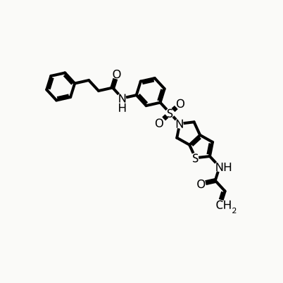 C=CC(=O)Nc1cc2c(s1)CN(S(=O)(=O)c1cccc(NC(=O)CCc3ccccc3)c1)C2